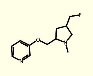 CN1CC(CF)CC1COc1cccnc1